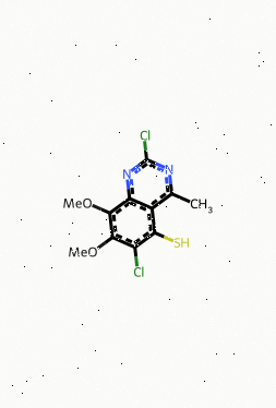 COc1c(Cl)c(S)c2c(C)nc(Cl)nc2c1OC